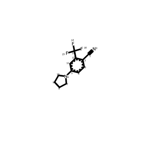 N#Cc1ccc(N2CCCC2)cc1C(F)(F)F